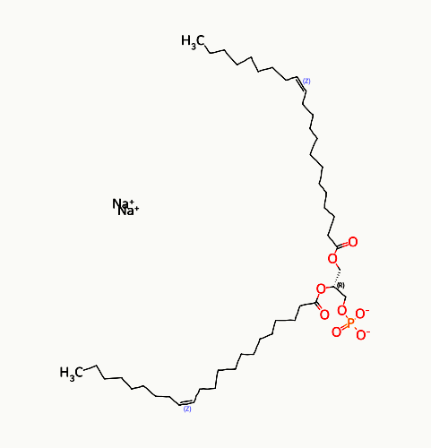 CCCCCCCC/C=C\CCCCCCCCCCCC(=O)OC[C@H](COP(=O)([O-])[O-])OC(=O)CCCCCCCCCCC/C=C\CCCCCCCC.[Na+].[Na+]